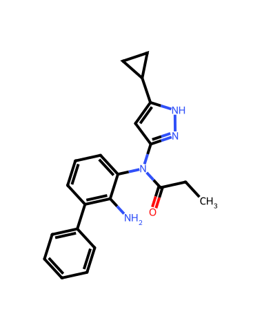 CCC(=O)N(c1cc(C2CC2)[nH]n1)c1cccc(-c2ccccc2)c1N